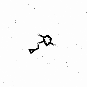 [O]c1ccc(C(F)(F)F)cc1OCC1CC1